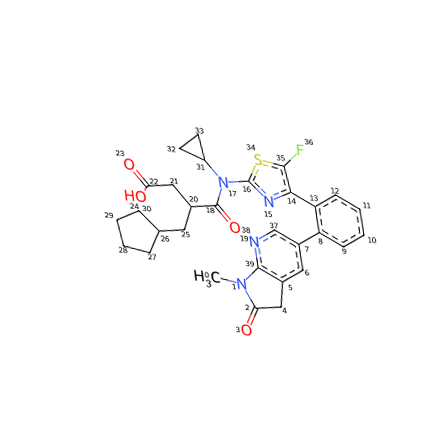 CN1C(=O)Cc2cc(-c3ccccc3-c3nc(N(C(=O)C(CC(=O)O)CC4CCCC4)C4CC4)sc3F)cnc21